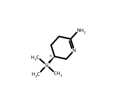 C[Si](C)(C)[C@H]1CCC(N)=NC1